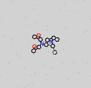 C1=CCCC(c2ccc(-n3c4ccccc4c4ccc5ccccc5c43)c(-c3ccc(N(c4ccc5c(c4)oc4ccccc45)c4ccc5oc6ccccc6c5c4)cc3)c2)=C1